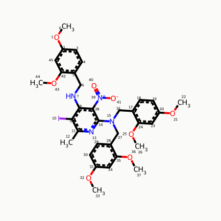 COc1ccc(CNc2c(I)c(C)nc(N(Cc3ccc(OC)cc3OC)Cc3ccc(OC)cc3OC)c2[N+](=O)[O-])c(OC)c1